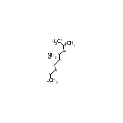 CCCCCCCC(C)C.N